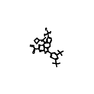 C[C@@H](Nc1nc(C(=O)O)nc2nc(-c3cc(C(C)(C)C)cc(C(C)(C)C)c3)n(Cc3ccc(C(F)(F)F)cc3)c12)C1CCC1